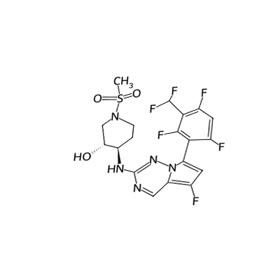 CS(=O)(=O)N1CC[C@@H](Nc2ncc3c(F)cc(-c4c(F)cc(F)c(C(F)F)c4F)n3n2)[C@H](O)C1